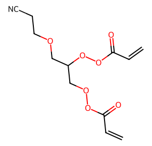 C=CC(=O)OOCC(COCCC#N)OOC(=O)C=C